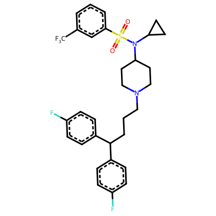 O=S(=O)(c1cccc(C(F)(F)F)c1)N(C1CC1)C1CCN(CCCC(c2ccc(F)cc2)c2ccc(F)cc2)CC1